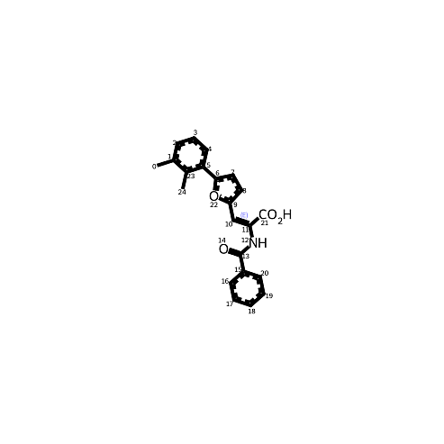 Cc1cccc(-c2ccc(/C=C(/NC(=O)c3ccccc3)C(=O)O)o2)c1C